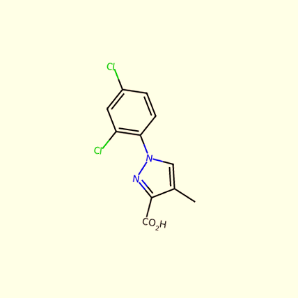 Cc1cn(-c2ccc(Cl)cc2Cl)nc1C(=O)O